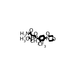 CN(C)[C@@H](C(N)=O)C(=O)Nc1ccc(N2CCOCC2=O)cc1C(F)(F)F